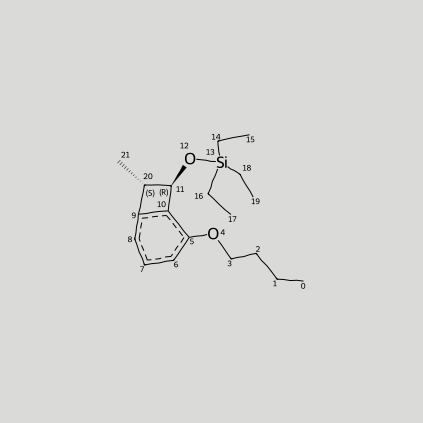 CCCCOc1cccc2c1[C@H](O[Si](CC)(CC)CC)[C@H]2C